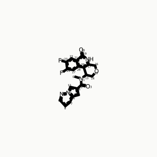 CN(C(=O)c1cc2cccnn2c1)C1COCc2[nH]c(=O)c3cc(F)c(F)cc3c21